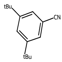 CC(C)(C)c1cc(C#N)cc(C(C)(C)C)c1